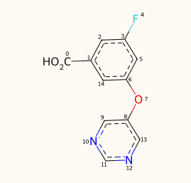 O=C(O)c1cc(F)cc(Oc2cncnc2)c1